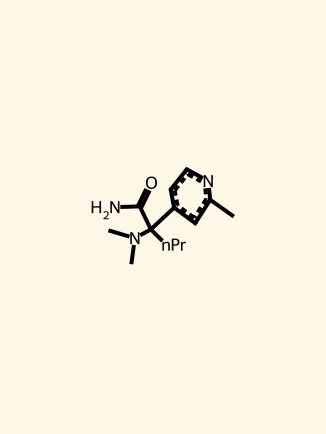 CCCC(C(N)=O)(c1ccnc(C)c1)N(C)C